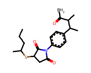 BC(=O)C(C)C(C)c1ccc(N2C(=O)CC(SC(C)CCC)C2=O)cc1